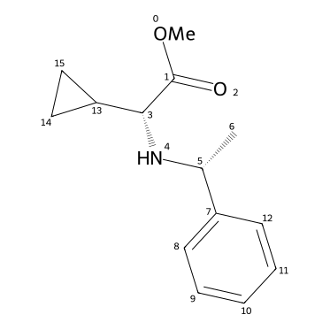 COC(=O)[C@H](N[C@H](C)c1ccccc1)C1CC1